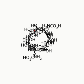 N[C@H](CSCC[C@H]1O[C@@H](O)/C(O)=C(\O)[C@@H](CCO)O[C@H]2OC(CO)[C@@H](O[C@@H](O)/C(O)=C(\O)[C@H](CCO)O[C@H](O)/C(O)=C(\O)[C@@H](CCSC[C@@H](N)C(=O)O)O[C@H](O)/C(O)=C(\O)[C@@H](CCO)O[C@H](O)/C(O)=C(\O)[C@@H](CCO)O[C@@H](O)/C(O)=C\1O)C(O)C2O)C(=O)O